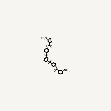 CC(C)(c1ccc(OC(=O)c2cccc(N)c2)cc1)c1cccc(C(C)(C)c2ccc(OC(=O)c3cccc(N)c3)cc2)c1